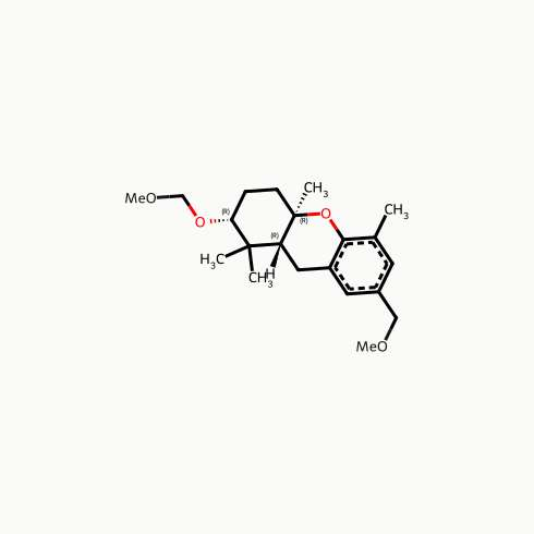 COCO[C@@H]1CC[C@@]2(C)Oc3c(C)cc(COC)cc3C[C@@H]2C1(C)C